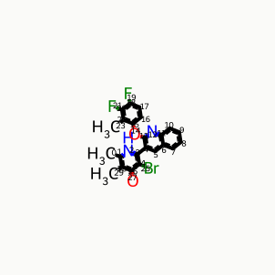 Cc1[nH]c(-c2cc3ccccc3nc2Oc2ccc(F)c(F)c2C)c(Br)c(=O)c1C